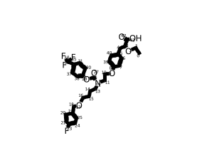 CCOC(Cc1ccc(OCCN(CCCCOCc2ccc(F)cc2)C(=O)Oc2ccc(C(F)(F)F)cc2)cc1)C(=O)O